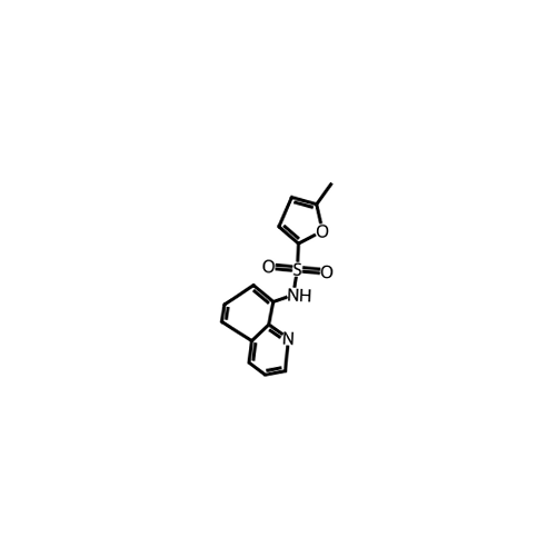 Cc1ccc(S(=O)(=O)Nc2cccc3cccnc23)o1